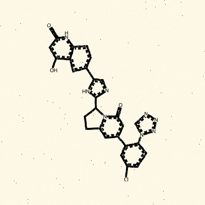 O=c1cc(O)c2cc(-c3cnc(C4CCc5cc(-c6cc(Cl)ccc6-n6cnnn6)cc(=O)n54)[nH]3)ccc2[nH]1